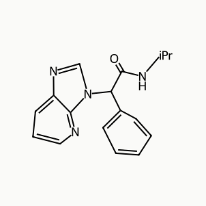 CC(C)NC(=O)C(c1ccccc1)n1cnc2cccnc21